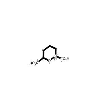 O=C(O)C1CCC[SiH](C(=O)O)O1